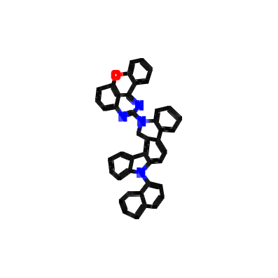 c1ccc2c(c1)Oc1cccc3nc(N4Cc5c(ccc6c5c5ccccc5n6-c5cccc6ccccc56)-c5ccccc54)nc-2c13